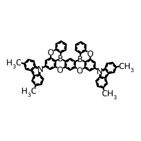 Cc1ccc2c(c1)c1cc(C)ccc1n2-c1cc2c3c(c1)Oc1cc4c(cc1B3c1ccccc1O2)B1c2ccccc2Oc2cc(-n3c5ccc(C)cc5c5cc(C)ccc53)cc(c21)O4